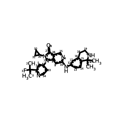 CC(C)(F)c1cc(-n2c3cc(Nc4ccc5c(c4)CCNC5(C)C)ncc3c(=O)n2C2CC2)ccn1